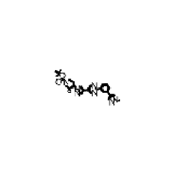 Cn1cc(-c2cccc(-c3ncc(-c4cnn([C@H]5CCN(C(=O)OC(C)(C)C)C[C@@H]5F)c4)cn3)c2)cn1